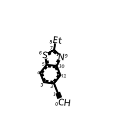 C#Cc1ccc2sc(CC)nc2c1